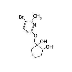 Cc1nc(OCC2(O)CCCCC2O)ccc1Br